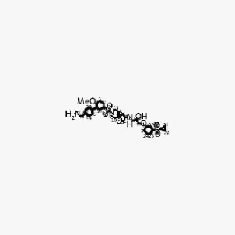 COc1ccc(S(=O)(=O)N2CCC3(CC2)C[C@H](NC[C@H](O)COc2cccc(S(=O)(=O)C4CC4)c2)CO3)cc1-c1ccc(CN)cc1